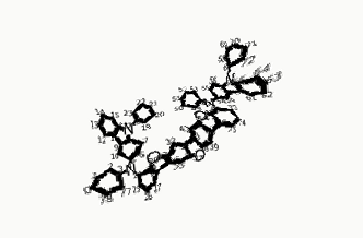 c1ccc(N(c2ccc3c(c2)c2ccccc2n3-c2ccccc2)c2cccc3c2oc2cc4c(cc23)oc2cc3c(cc24)oc2c(N(c4ccccc4)c4ccc5c(c4)c4ccccc4n5-c4ccccc4)cccc23)cc1